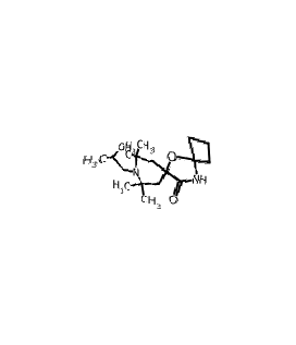 CC(O)CN1C(C)(C)CC2(CC1(C)C)OC1(CCC1)NC2=O